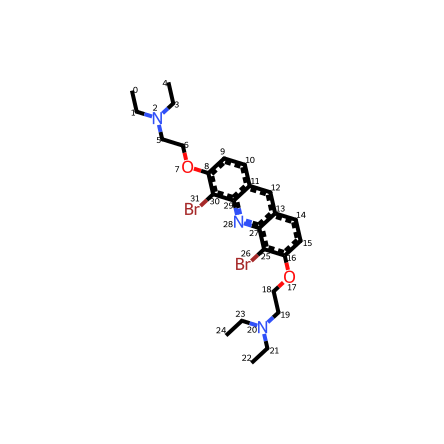 CCN(CC)CCOc1ccc2cc3ccc(OCCN(CC)CC)c(Br)c3nc2c1Br